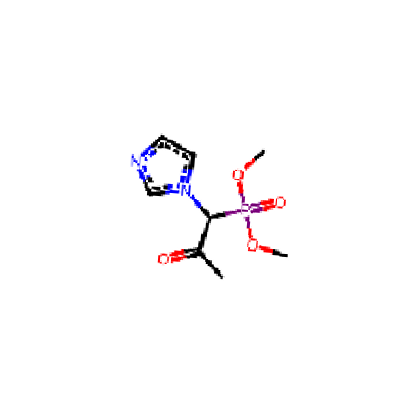 COP(=O)(OC)C(C(C)=O)n1ccnc1